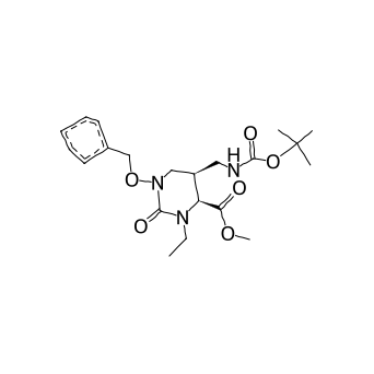 CCN1C(=O)N(OCc2ccccc2)C[C@@H](CNC(=O)OC(C)(C)C)[C@H]1C(=O)OC